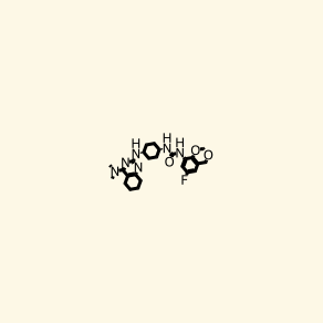 CN(C)c1nc(N[C@H]2CC[C@@H](NC(=O)Nc3cc(F)cc4c3OCOC4)CC2)nc2c1CCCC2